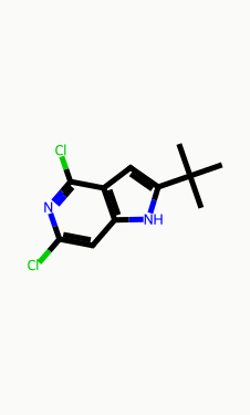 CC(C)(C)c1cc2c(Cl)nc(Cl)cc2[nH]1